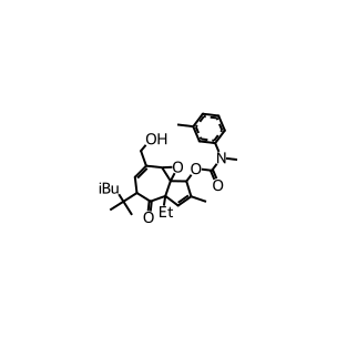 CCC(C)C(C)(C)C1C=C(CO)C2OC23C(OC(=O)N(C)c2cccc(C)c2)C(C)=CC3(CC)C1=O